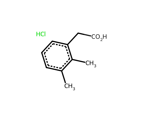 Cc1cccc(CC(=O)O)c1C.Cl